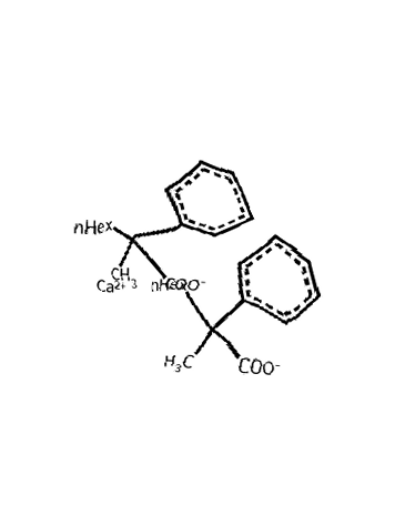 CCCCCCC(C)(C(=O)[O-])c1ccccc1.CCCCCCC(C)(C(=O)[O-])c1ccccc1.[Ca+2]